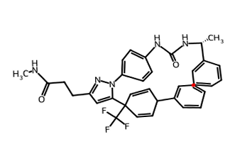 CNC(=O)CCc1cc(C2(C(F)(F)F)C=CC(c3ccccc3)C=C2)n(-c2ccc(NC(=O)N[C@H](C)c3ccccc3)cc2)n1